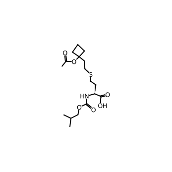 CC(=O)OC1(CCSCC[C@H](NC(=O)OCC(C)C)C(=O)O)CCC1